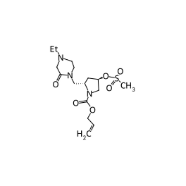 C=CCOC(=O)N1C[C@H](OS(C)(=O)=O)C[C@H]1CN1CCN(CC)CC1=O